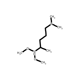 CO[SiH](OC)C(C)CCCN(C)C